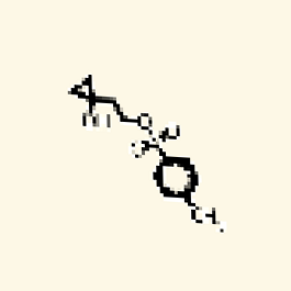 Cc1ccc(S(=O)(=O)OCCC2(O)CC2)cc1